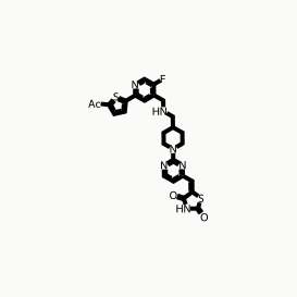 CC(=O)c1ccc(-c2cc(CNCC3CCN(c4nccc(/C=C5/SC(=O)NC5=O)n4)CC3)c(F)cn2)s1